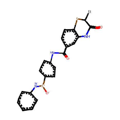 CCC1Sc2ccc(C(=O)Nc3ccc([S+]([O-])Nc4ccccc4)cc3)cc2NC1=O